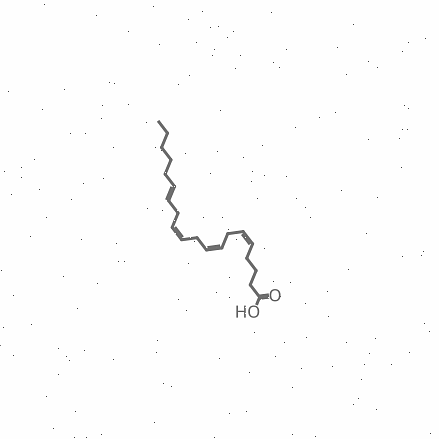 CCCCC/C=C/C/C=C\C/C=C\C/C=C\CCCC(=O)O